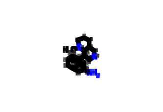 CN1CCCC2CN=CC(C34CC5CC(CC(N)(C5)C3)C4)C21